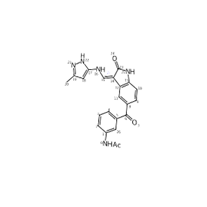 CC(=O)Nc1cccc(C(=O)c2ccc3c(c2)/C(=C/Nc2cc(C)n[nH]2)C(=O)N3)c1